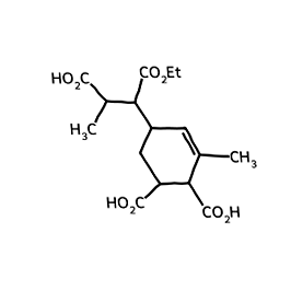 CCOC(=O)C(C1C=C(C)C(C(=O)O)C(C(=O)O)C1)C(C)C(=O)O